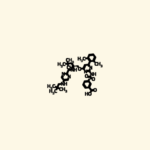 Cc1cccc(C)c1-c1cc(OC[C@@H](CC(C)(C)C)NCc2ncc(NCC(C)(C)C)cn2)nc(NS(=O)(=O)c2cccc(C(=O)O)c2)n1